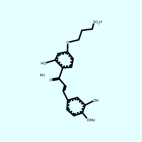 COc1ccc(C=CC(=O)c2ccc(OCCCS(=O)(=O)O)cc2O)cc1O.[KH]